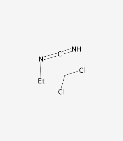 CCN=C=N.ClCCl